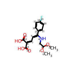 COC(CNC(=CC=C(C(=O)O)C(=O)O)c1ccc(F)cc1)OC